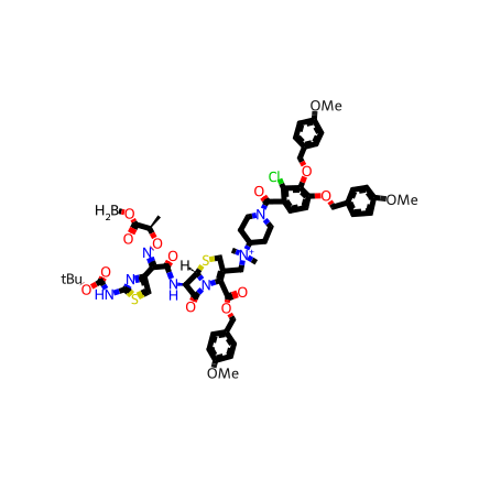 BOC(=O)[C@@H](C)O/N=C(\C(=O)N[C@@H]1C(=O)N2C(C(=O)OCc3ccc(OC)cc3)=C(C[N+](C)(C)C3CCN(C(=O)c4ccc(OCc5ccc(OC)cc5)c(OCc5ccc(OC)cc5)c4Cl)CC3)CS[C@H]12)c1csc(NC(=O)OC(C)(C)C)n1